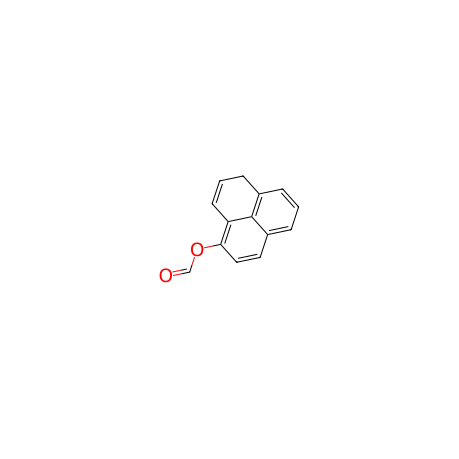 O=COc1ccc2cccc3c2c1C=CC3